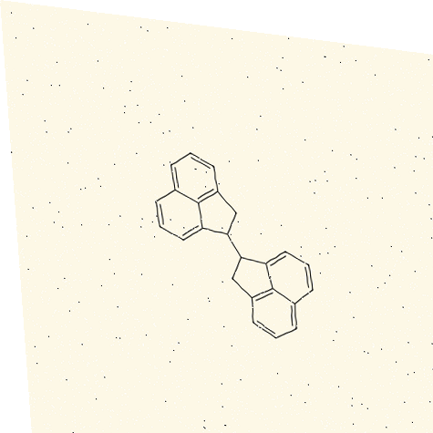 c1cc2c3c(cccc3c1)[C](C1Cc3cccc4cccc1c34)C2